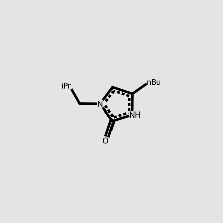 CCCCc1cn(CC(C)C)c(=O)[nH]1